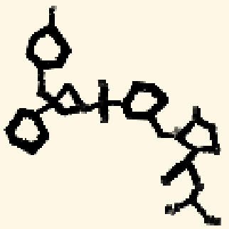 CC(=O)OC(C)OC(=O)C1OON[C@H]1Cc1cccc(S(=O)(=O)N2CC(Oc3ccc(F)cc3)(c3ccccc3)C2)c1